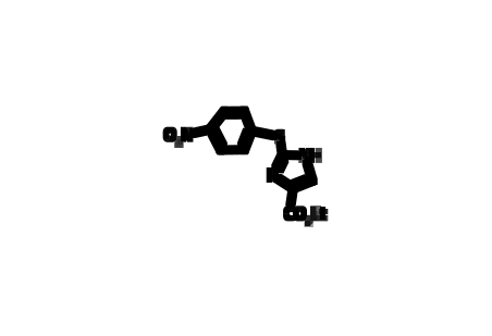 CCOC(=O)c1c[nH]c(Sc2ccc([N+](=O)[O-])cc2)n1